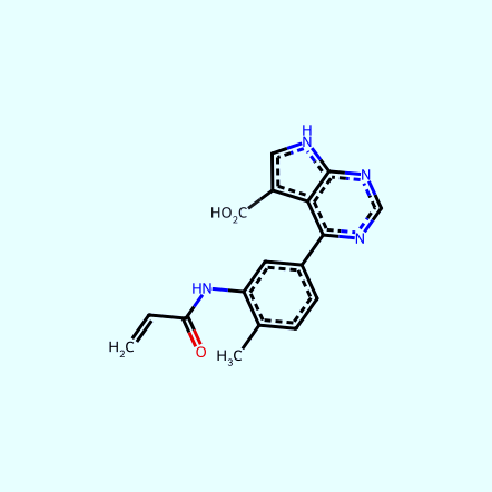 C=CC(=O)Nc1cc(-c2ncnc3[nH]cc(C(=O)O)c23)ccc1C